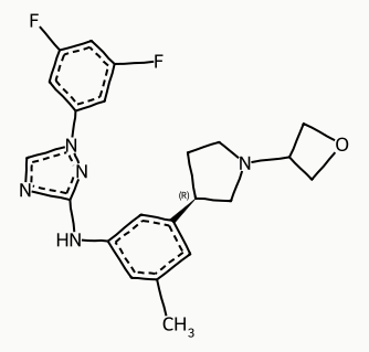 Cc1cc(Nc2ncn(-c3cc(F)cc(F)c3)n2)cc([C@H]2CCN(C3COC3)C2)c1